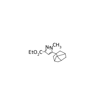 CCOC(=O)c1cc(C23CC4CC(CC(C4)C2)C3)n(C)n1